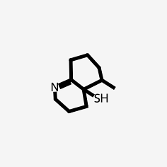 CC1CCCC2=NCCCC21S